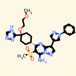 COCCO[C@]1(c2nnc[nH]2)CC[C@@H](c2nc3c(-c4cnn(-c5ccccc5)c4)cnn3c(N)c2S(C)(=O)=O)CC1